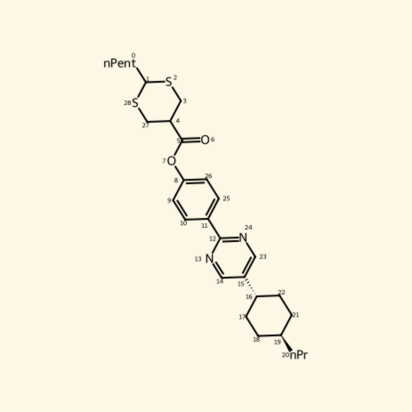 CCCCCC1SCC(C(=O)Oc2ccc(-c3ncc([C@H]4CC[C@H](CCC)CC4)cn3)cc2)CS1